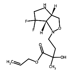 C=CCOC(=O)C(C)(O)CCN1OC[C@H]2NCC(F)(F)[C@H]21